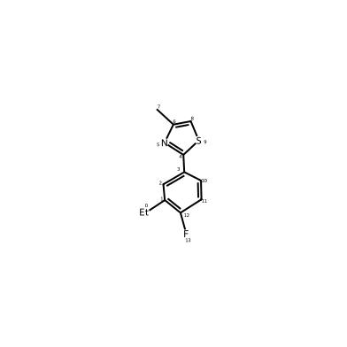 CCc1cc(-c2nc(C)cs2)ccc1F